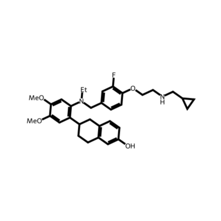 CCN(Cc1ccc(OCCNCC2CC2)c(F)c1)c1cc(OC)c(OC)cc1C1CCc2cc(O)ccc2C1